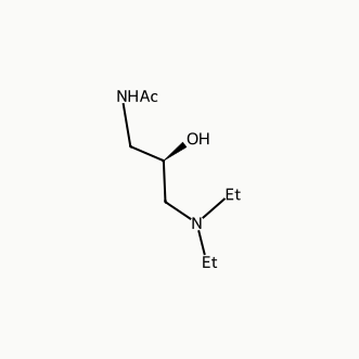 CCN(CC)C[C@H](O)CNC(C)=O